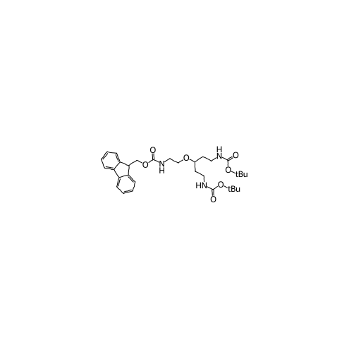 CC(C)(C)OC(=O)NCCC(CCNC(=O)OC(C)(C)C)OCCNC(=O)OCC1c2ccccc2-c2ccccc21